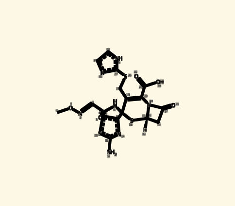 CON=CC(=O)NC1(c2csc(N)n2)S[C@H]2CC(=O)N2C(C(=O)O)=C1CSc1ncc[nH]1